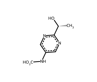 C[C@@H](O)c1ncc(NC(=O)O)cn1